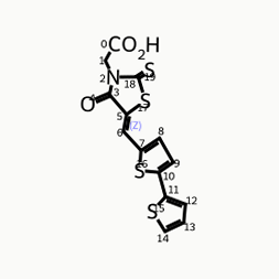 O=C(O)CN1C(=O)/C(=C/c2ccc(-c3cccs3)s2)SC1=S